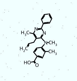 C=CCc1c(C)nc(-c2ccccc2)nc1N(C)c1ccc(C(=O)O)cc1C